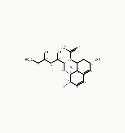 CC[C@H](C)C(=O)OC1C[C@H](O)C=C2C=C[C@H](C)[C@H](CCC(O)OC(O)CC(=O)O)[C@]21C